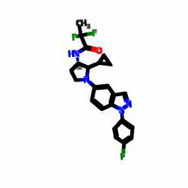 CC(F)(F)C(=O)N[C@H]1CCN(c2ccc3c(cnn3-c3ccc(F)cc3)c2)C1C1CC1